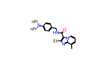 CCCN(CCC)c1ccc(CNC(=O)c2c(CC)nc3c(C)cccn23)cc1